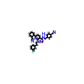 N#Cc1ccc(CNC(=O)c2ccc(-c3ccccc3C#N)nc2NCCc2cccc(F)c2)cc1